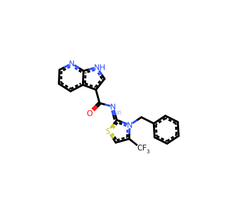 O=C(/N=c1\scc(C(F)(F)F)n1Cc1ccccc1)c1c[nH]c2ncccc12